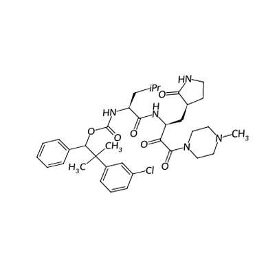 CC(C)C[C@H](NC(=O)OC(c1ccccc1)C(C)(C)c1cccc(Cl)c1)C(=O)N[C@@H](C[C@@H]1CCNC1=O)C(=O)C(=O)N1CCN(C)CC1